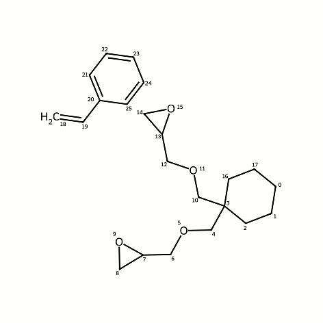 C1CCC(COCC2CO2)(COCC2CO2)CC1.C=Cc1ccccc1